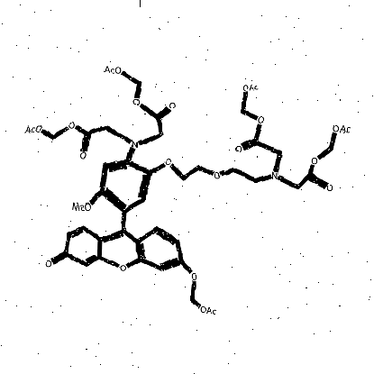 COc1cc(N(CC(=O)OCOC(C)=O)CC(=O)OCOC(C)=O)c(OCCOCCN(CC(=O)OCOC(C)=O)CC(=O)OCOC(C)=O)cc1-c1c2ccc(=O)cc-2oc2cc(OCOC(C)=O)ccc12